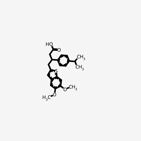 COc1cc2cc(CC(CC(=O)O)c3ccc(C(C)C)cc3)sc2cc1OC